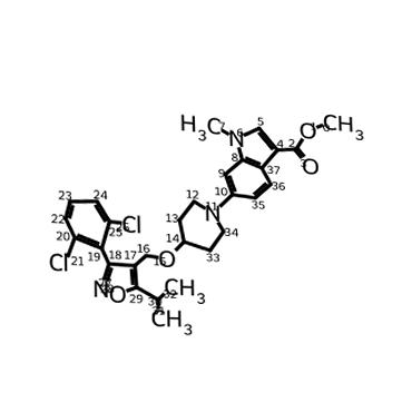 COC(=O)c1cn(C)c2cc(N3CCC(OCc4c(-c5c(Cl)cccc5Cl)noc4C(C)C)CC3)ccc12